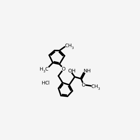 COC(=N)C(O)c1ccccc1COc1cc(C)ccc1C.Cl